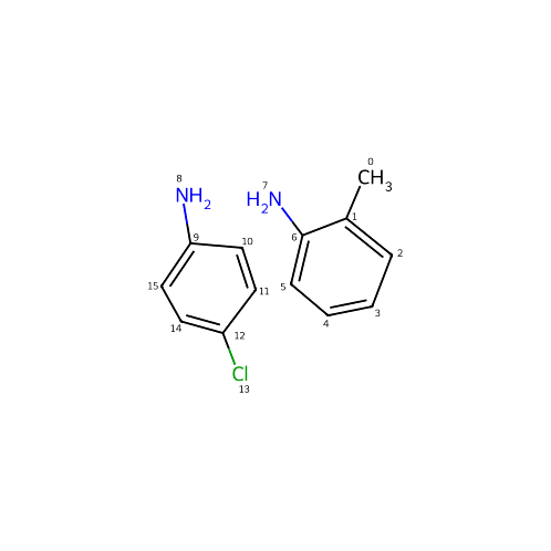 Cc1ccccc1N.Nc1ccc(Cl)cc1